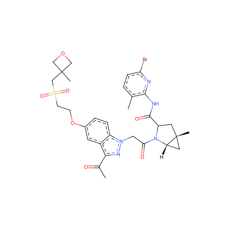 CC(=O)c1nn(CC(=O)N2C(C(=O)Nc3nc(Br)ccc3C)C[C@]3(C)C[C@H]23)c2ccc(OCCS(=O)(=O)CC3(C)COC3)cc12